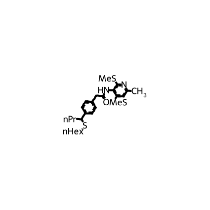 CCCCCCSC(CCC)c1ccc(CC(=O)Nc2c(SC)cc(C)nc2SC)cc1